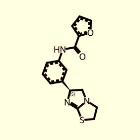 O=C(Nc1cccc([C@H]2CN3CCSC3=N2)c1)c1ccco1